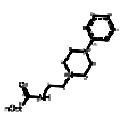 CCCCCCCCC(=O)NCCN1CCN(c2ccccc2)CC1